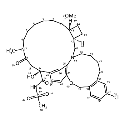 CO[C@H]1CCCCCN(C)C(=O)C[C@@](O)(C(=O)NS(C)(=O)=O)c2ccc3c(c2)N(CCCCc2cc(Cl)ccc2CO3)C[C@@H]2CC[C@H]21